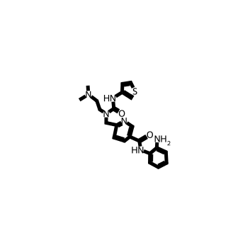 CN(C)CCN(Cc1ccc(C(=O)Nc2ccccc2N)cn1)C(=O)Nc1ccsc1